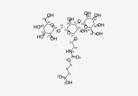 O=C(O)CCCOC(=O)NCCO[C@@H]1O[C@H](CO[C@H]2O[C@H](CO)[C@@H](O)[C@H](O)[C@@H]2O)[C@@H](O)[C@H](O[C@H]2O[C@H](CO)[C@@H](O)[C@H](O)[C@@H]2O)[C@@H]1O